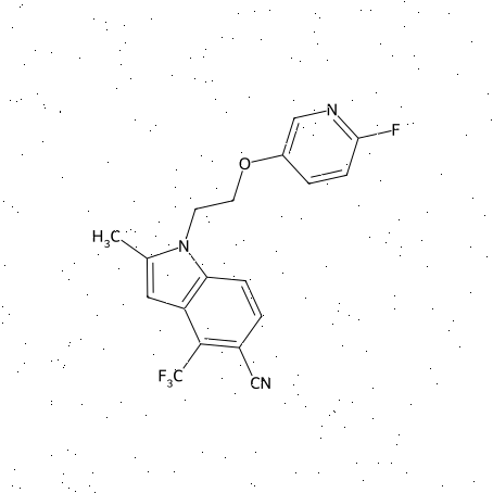 Cc1cc2c(C(F)(F)F)c(C#N)ccc2n1CCOc1ccc(F)nc1